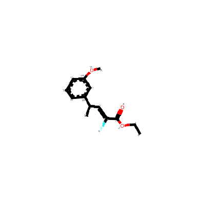 CCOC(=O)C(F)=CC(C)c1cccc(OC)c1